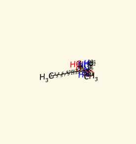 CCCCCCCCCCCCCCCCC(CC(=O)NO)C(=O)N[C@@H](Cc1ccccc1)C(=O)NC